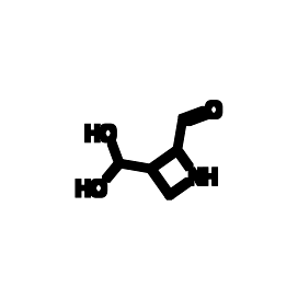 O=CC1NCC1C(O)O